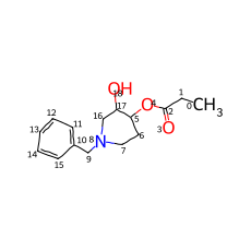 CCC(=O)OC1CCN(Cc2ccccc2)CC1O